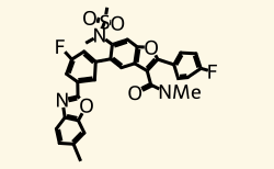 CNC(=O)c1c(-c2ccc(F)cc2)oc2cc(N(C)S(C)(=O)=O)c(-c3cc(F)cc(-c4nc5ccc(C)cc5o4)c3)cc12